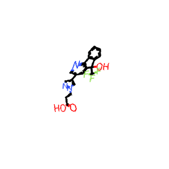 O=C(O)CCn1cc(-c2cnc3c(c2)C(O)(C(F)(F)F)c2ccccc2-3)cn1